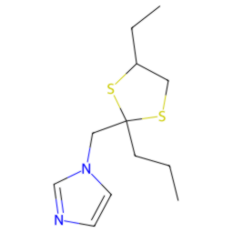 CCCC1(Cn2ccnc2)SCC(CC)S1